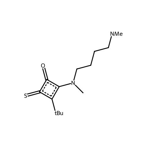 CNCCCCN(C)c1c(C(C)(C)C)c(=S)c1=O